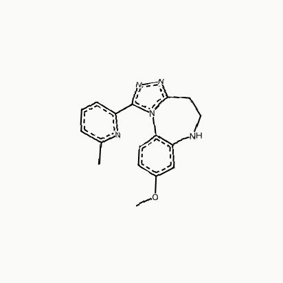 COc1ccc2c(c1)NCCc1nnc(-c3cccc(C)n3)n1-2